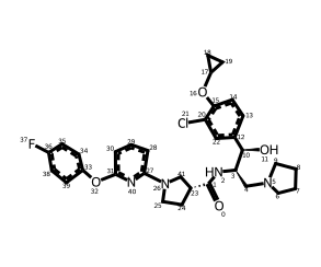 O=C(N[C@H](CN1CCCC1)[C@H](O)c1ccc(OC2CC2)c(Cl)c1)[C@@H]1CCN(c2cccc(Oc3ccc(F)cc3)n2)C1